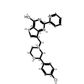 Oc1nc(-c2ccccn2)nc2c(CN3CCOC(c4ccc(Cl)cc4)C3)csc12